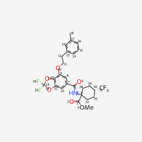 COC(=O)[C@]1(NC(=O)c2cc(OCCc3cccc(C)c3)c3c(c2)OC(F)(F)O3)CC[C@H](C(F)(F)F)CC1